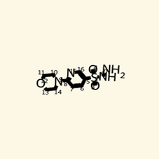 NNS(=O)(=O)c1ccc(N2CCOCC2)nc1